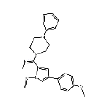 C=Nn1cc(-c2ccc(OC)cc2)cc1/C(=N\C)N1CCN(c2ccccc2)CC1